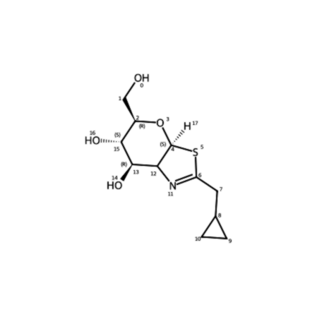 OC[C@H]1O[C@H]2SC(CC3CC3)=NC2[C@@H](O)[C@@H]1O